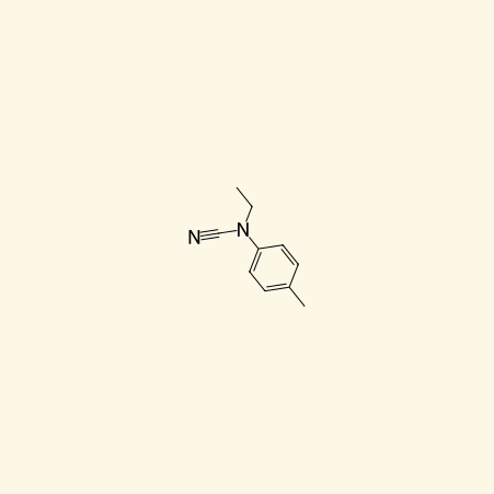 CCN(C#N)c1ccc(C)cc1